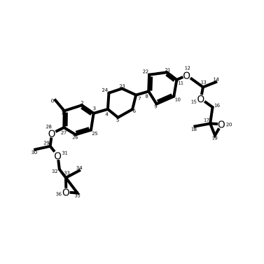 Cc1cc(C2CCC(c3ccc(OC(C)OCC4(C)CO4)cc3)CC2)ccc1OC(C)OCC1(C)CO1